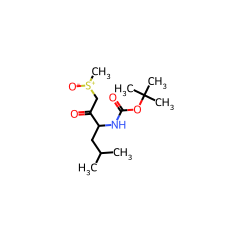 CC(C)CC(NC(=O)OC(C)(C)C)C(=O)C[S+](C)[O-]